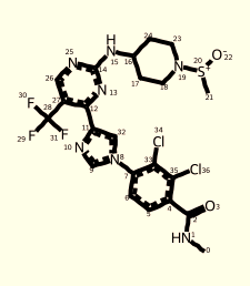 CNC(=O)c1ccc(-n2cnc(-c3nc(NC4CCN([S+](C)[O-])CC4)ncc3C(F)(F)F)c2)c(Cl)c1Cl